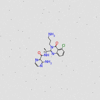 C[C@H](NC(=O)c1nccnc1N)c1nc2cccc(Cl)c2c(=O)n1CCCN